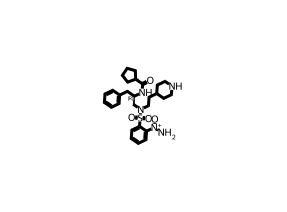 N[N+](=O)c1ccccc1S(=O)(=O)N(CCC1CCNCC1)C[C@@H](Cc1ccccc1)NC(=O)[C]1CCCC1